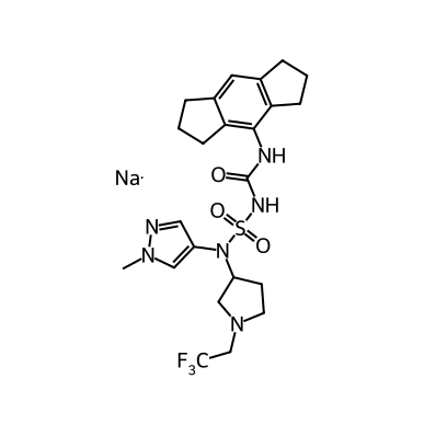 Cn1cc(N(C2CCN(CC(F)(F)F)C2)S(=O)(=O)NC(=O)Nc2c3c(cc4c2CCC4)CCC3)cn1.[Na]